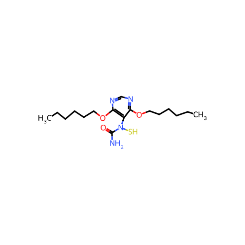 CCCCCCOc1ncnc(OCCCCCC)c1N(S)C(N)=O